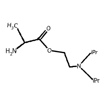 CC(N)C(=O)OCCN(C(C)C)C(C)C